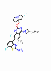 COC1CN(c2nc(OC[C@@]34CCCN3C[C@H](F)C4)nc3c(F)c(-c4ccc(F)c5sc(N)nc45)c(C(F)(F)F)cc23)C1